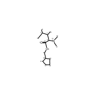 CC(C)C(C)C(C(=O)OCC1CCCC1)N(C)C